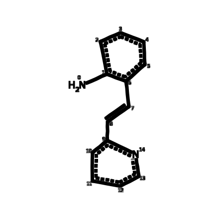 Nc1ccccc1/C=C/c1ccccn1